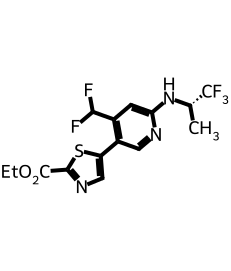 CCOC(=O)c1ncc(-c2cnc(N[C@@H](C)C(F)(F)F)cc2C(F)F)s1